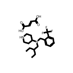 CCC(CC)CN(Cc1ccccc1C(F)(F)F)C1CCNCC1.O=C(O)C=CC(=O)O